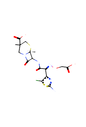 CC1(C(=O)O)CS[C@@H]2C(NC(=O)C(=NOCC(=O)O)c3nc(N)sc3Cl)C(=O)N2C1